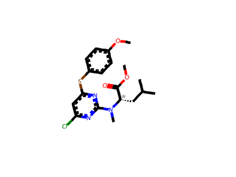 COC(=O)[C@H](CC(C)C)N(C)c1nc(Cl)cc(Sc2ccc(OC)cc2)n1